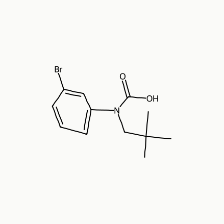 CC(C)(C)CN(C(=O)O)c1cccc(Br)c1